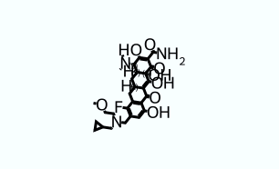 COCCN(Cc1cc(O)c2c(c1F)C[C@H]1C[C@H]3[C@H](N(C)C)C(O)=C(C(N)=O)C(=O)[C@@]3(O)C(O)=C1C2=O)CC1CC1